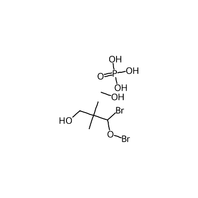 CC(C)(CO)C(Br)OBr.CO.O=P(O)(O)O